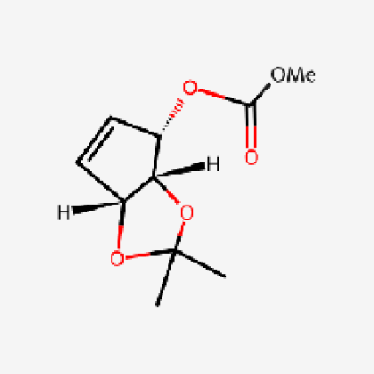 COC(=O)O[C@H]1C=C[C@H]2OC(C)(C)O[C@@H]12